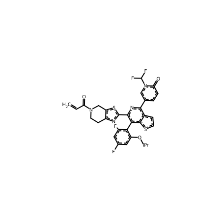 C=CC(=O)N1CCc2nc(-c3nc(-c4ccc(=O)n(C(F)F)c4)c4ccsc4c3-c3c(F)cc(F)cc3OC(C)C)sc2C1